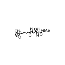 C=C1C=CC(=O)N1CCCCCC(=O)NCC(O)NCC(=O)NC